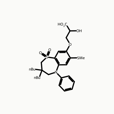 CCCCC1(CCCC)CN(c2ccccc2)c2cc(SC)c(OCC(O)C(=O)O)cc2S(=O)(=O)C1